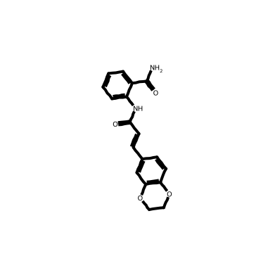 NC(=O)c1ccccc1NC(=O)C=Cc1ccc2c(c1)OCCO2